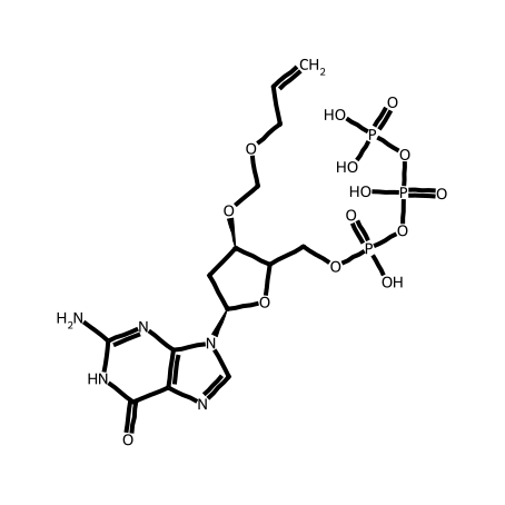 C=CCOCO[C@@H]1C[C@H](n2cnc3c(=O)[nH]c(N)nc32)OC1COP(=O)(O)OP(=O)(O)OP(=O)(O)O